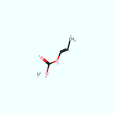 CC=COC(=O)[O-].[Li+]